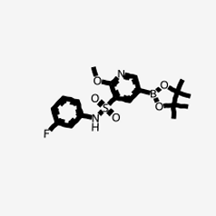 COc1ncc(B2OC(C)(C)C(C)(C)O2)cc1S(=O)(=O)Nc1cccc(F)c1